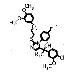 COc1cc(C(C)(C)c2cnc(SCCOc3ccc(OC)c(OC)c3)n2-c2ccc(F)cc2)ccc1Cl